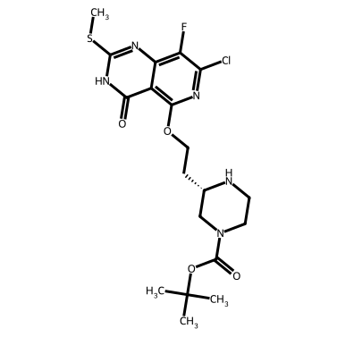 CSc1nc2c(F)c(Cl)nc(OCC[C@H]3CN(C(=O)OC(C)(C)C)CCN3)c2c(=O)[nH]1